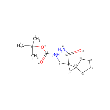 CC(C)(C)OC(=O)NCC1(C(N)=O)CC12CCCC2